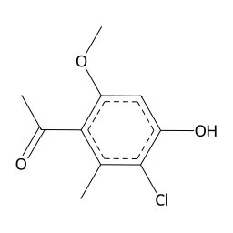 COc1cc(O)c(Cl)c(C)c1C(C)=O